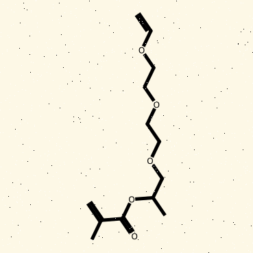 C=COCCOCCOCC(C)OC(=O)C(=C)C